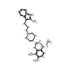 Cc1[nH]c2ccccc2c1CCCN1CCC([C@H]2Cc3c(ccc(O)c3O)[C@@H](CN)O2)CC1